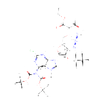 CCOC(=O)C(OC[C@H]1O[C@@H](n2cnc3c(N(C(=O)OC(C)(C)C)C(=O)OC(C)(C)C)nc(Cl)nc32)[C@H](O[Si](C)(C)C(C)(C)C)[C@H]1N=[N+]=[N-])C(C)=O